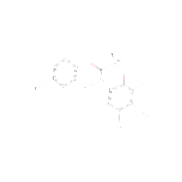 C[C@H]1Oc2c(cc(Br)c(N)c2F)N(Cc2cccc(C(F)F)c2)C1=O